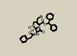 O=C(Cc1ccccc1)NC1C(=O)N2C(C(=O)OC(c3ccccc3)c3ccccc3)=C(CBr)C[S+]([O-])[C@H]12